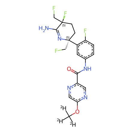 [2H]C([2H])([2H])Oc1cnc(C(=O)Nc2ccc(F)c([C@]3(CF)CC[C@@](F)(CF)C(N)=N3)c2)cn1